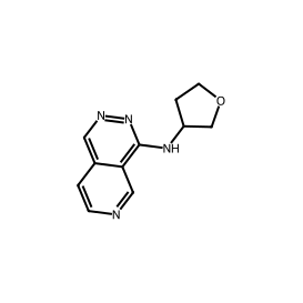 c1cc2cnnc(NC3CCOC3)c2cn1